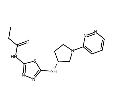 CCC(=O)Nc1nnc(N[C@@H]2CCN(c3cccnn3)C2)s1